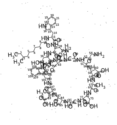 CCC(C)CCCCCCC(=O)NC(Cc1c[nH]c2ccccc12)C(=O)NC(CC(N)=O)C(=O)NC(CC(=O)O)C(=O)NC1C(=O)NCC(=O)NC(CCCN)C(=O)NC(CC(=O)O)C(=O)NC(C)C(=O)NC(CC(=O)O)C(=O)NCC(=O)NC(CO)C(=O)NC(C(C)CC(=O)O)C(=O)NC(Cc2c[nH]c3ccccc23)C(=O)OC1C